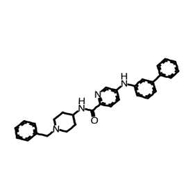 O=C(NC1CCN(Cc2ccccc2)CC1)c1ccc(Nc2cccc(-c3ccccc3)c2)cn1